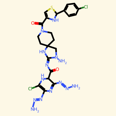 NN=NC1=NC(N=NN)=C(Cl)NC1C(=O)/N=C1/NC2(CCN(C(=O)C3=CSC(c4ccc(Cl)cc4)N3)CC2)CN1N